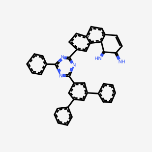 N=C1C=Cc2ccc3ccc(-c4nc(-c5ccccc5)nc(-c5cc(-c6ccccc6)cc(-c6ccccc6)c5)n4)cc3c2C1=N